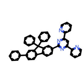 c1ccc(-c2ccc3c(c2)C(c2ccccc2)(c2ccccc2)c2cc(-c4nc(-c5ccccn5)cc(-c5ccccn5)n4)ccc2-3)cc1